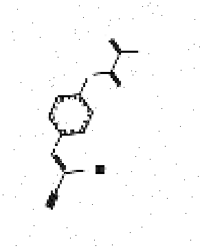 [C-]#[N+]/C(C#N)=C\c1ccc(OC(=O)C(=C)C)cc1